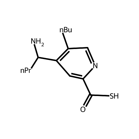 CCCCc1cnc(C(=O)S)cc1C(N)CCC